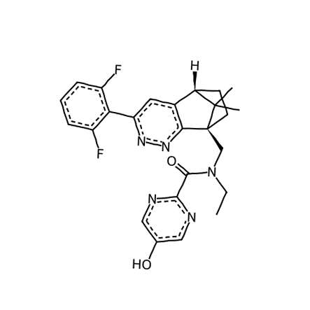 CCN(C[C@@]12CC[C@@H](c3cc(-c4c(F)cccc4F)nnc31)C2(C)C)C(=O)c1ncc(O)cn1